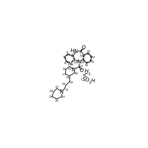 CS(=O)(=O)O.O=C1Nc2cccnc2N(C(=O)N2CCCC(CCCN3CCCCC3)C2)c2ccccc21